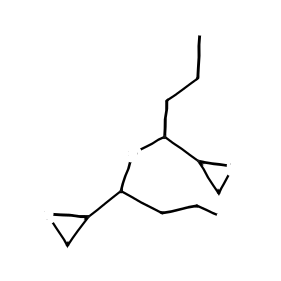 CCCC(OC(CCC)C1CS1)C1CS1